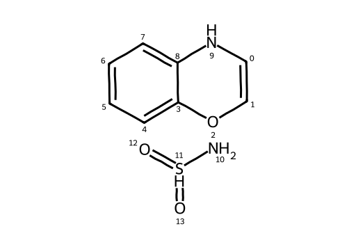 C1=COc2ccccc2N1.N[SH](=O)=O